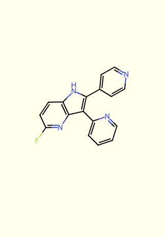 Fc1ccc2[nH]c(-c3ccncc3)c(-c3ccccn3)c2n1